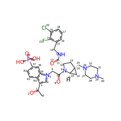 CC(=O)c1cn(CC(=O)N2[C@H](C(=O)NCc3cccc(Cl)c3F)C[C@@]3(CN4CCN(C)CC4)C[C@@H]23)c2cc(P(=O)(O)O)ccc12